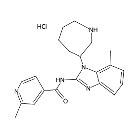 Cc1cc(C(=O)Nc2nc3cccc(C)c3n2C2CCCCNC2)ccn1.Cl